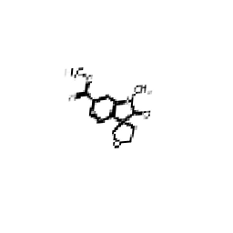 COC(=O)c1ccc2c(c1)N(C)C(=O)C21CCOC1